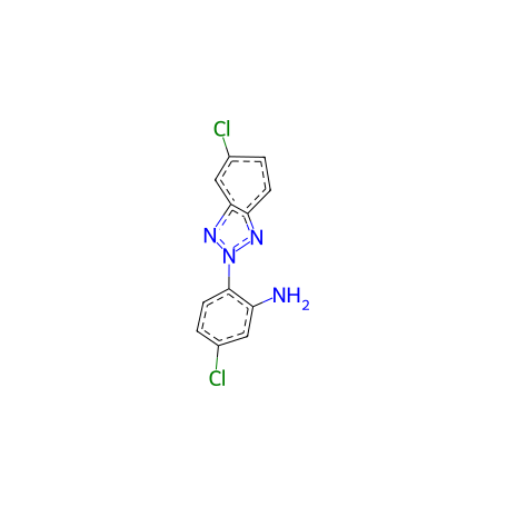 Nc1cc(Cl)ccc1-n1nc2ccc(Cl)cc2n1